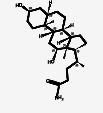 C[C@H](CCC(N)=O)[C@H]1CC[C@H]2[C@@H]3CC[C@@H]4C[C@H](O)CC[C@]4(C)[C@H]3C[C@H](O)[C@]12C